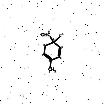 CC1=CCC(F)([C]=O)C=C1